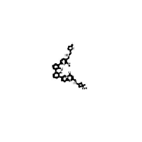 COc1nc(-c2cccc(-c3cccc(-c4ccc5nc(CNC6CC(C)(O)C6)cc(=O)n5c4)c3Cl)c2Cl)ccc1CNCC1CCC(=O)N1